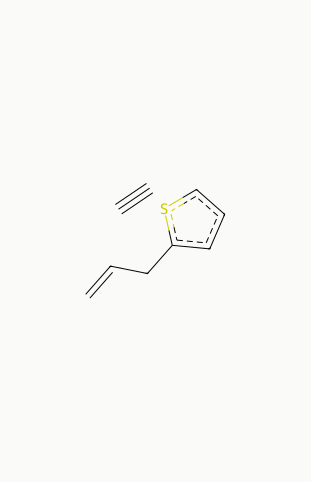 C#C.C=CCc1cccs1